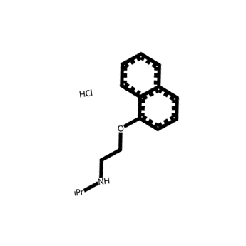 CC(C)NCCOc1cccc2ccccc12.Cl